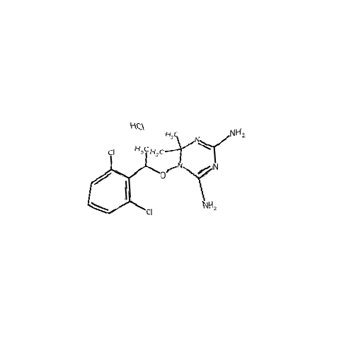 CC(ON1C(N)=NC(N)=NC1(C)C)c1c(Cl)cccc1Cl.Cl